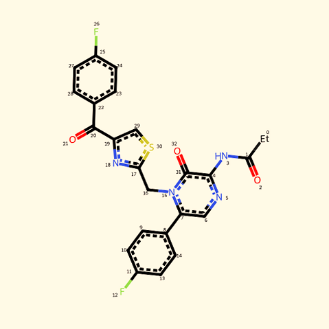 CCC(=O)Nc1ncc(-c2ccc(F)cc2)n(Cc2nc(C(=O)c3ccc(F)cc3)cs2)c1=O